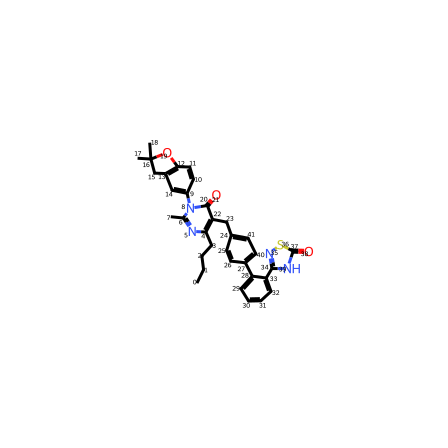 CCCCc1nc(C)n(-c2ccc3c(c2)CC(C)(C)O3)c(=O)c1Cc1ccc(-c2ccccc2-c2nsc(=O)[nH]2)cc1